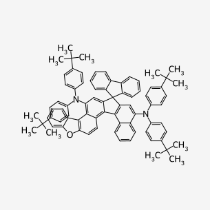 CC(C)(C)c1ccc(N(c2ccc(C(C)(C)C)cc2)c2cc3c(c4ccccc24)-c2c(cc(N(c4ccc(C(C)(C)C)cc4)c4ccc(C(C)(C)C)cc4)c4c2ccc2oc5ccccc5c24)C32c3ccccc3-c3ccccc32)cc1